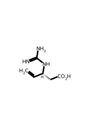 C=C[C@@H](CC(=O)O)NC(=N)N